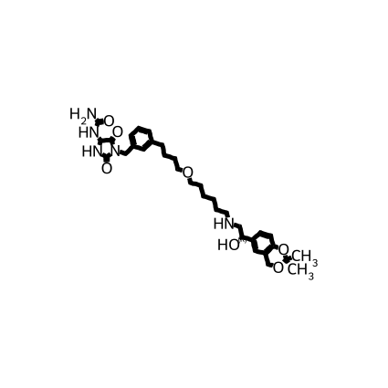 CC1(C)OCc2cc([C@@H](O)CNCCCCCCOCCCCc3cccc(CN4C(=O)NC(NC(N)=O)C4=O)c3)ccc2O1